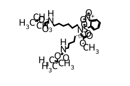 COC(=O)[C@H](CCCCNC(=O)OC(C)(C)C)N(CCCCCCNC(=O)OC(C)(C)C)S(=O)(=O)c1ccccc1[N+](=O)[O-]